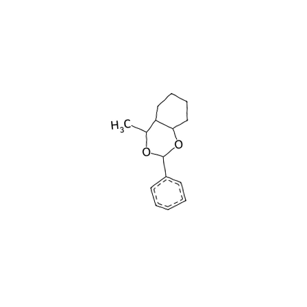 CC1OC(c2ccccc2)OC2CCCCC12